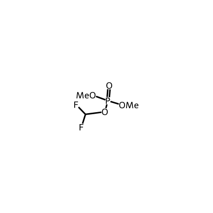 COP(=O)(OC)OC(F)F